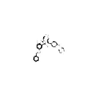 CN1CCN(CC2CCC(C3=C4C=NC=C[N+]4(N)C(c4cccc(OCc5ccccc5)c4)=N3)CC2)CC1